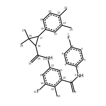 C=C(Nc1ccc(F)cc1)c1cc(NC(=C)C2C(c3ccc(C)c(C)c3)C2(C)C)cc(F)c1C